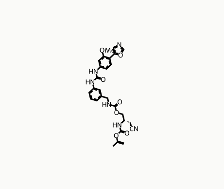 C=C(C)OC(=O)N[C@@H](CC#N)COC(=O)NCc1cccc(NC(=O)Nc2ccc(-c3cnco3)c(OC)c2)c1